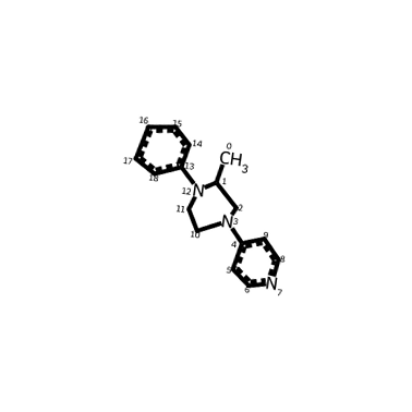 CC1CN(c2ccncc2)CCN1c1ccccc1